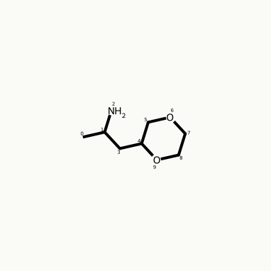 CC(N)CC1COCCO1